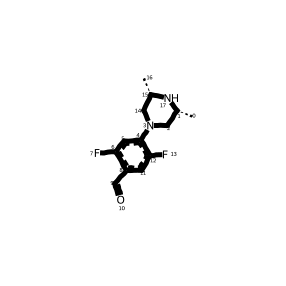 C[C@@H]1CN(c2cc(F)c(C=O)cc2F)C[C@H](C)N1